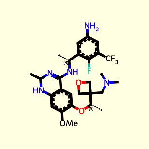 COc1cc2c(cc1O[C@@H](C)C1(CN(C)C)COC1)C(N[C@H](C)c1cc(N)cc(C(F)(F)F)c1F)=NC(C)N2